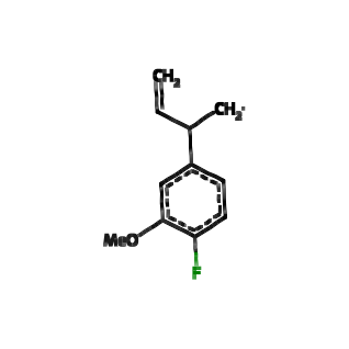 [CH2]C(C=C)c1ccc(F)c(OC)c1